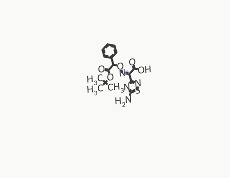 CC(C)(C)OC(=O)C(O/N=C(\C(=O)O)c1nsc(N)n1)c1ccccc1